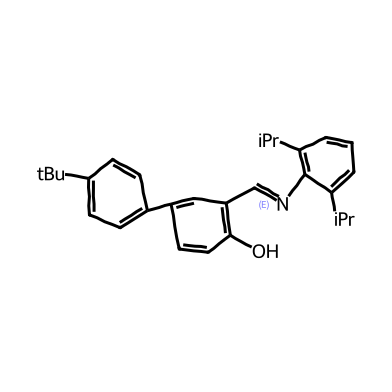 CC(C)c1cccc(C(C)C)c1/N=C/c1cc(-c2ccc(C(C)(C)C)cc2)ccc1O